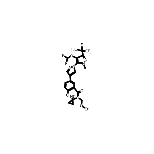 CCOCN(C(=O)c1cc(-c2cnn(-c3c(OC(F)F)c(C(F)(C(F)(F)F)C(F)(F)F)nn3C)c2)ccc1Cl)C1(C#N)CC1